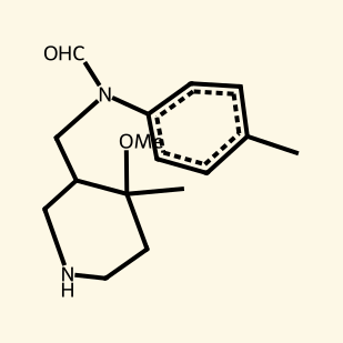 COC1(C)CCNCC1CN(C=O)c1ccc(C)cc1